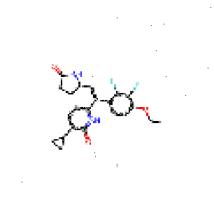 CCOc1ccc(C(=C[C@H]2CCC(=O)N2)c2ccc(C3CC3)c(=O)[nH]2)c(F)c1F